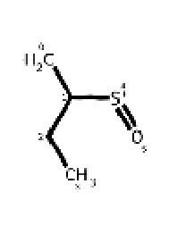 [CH2]C(CC)[S+]=O